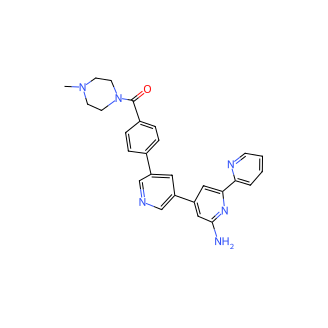 CN1CCN(C(=O)c2ccc(-c3cncc(-c4cc(N)nc(-c5ccccn5)c4)c3)cc2)CC1